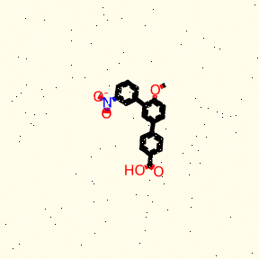 COc1ccc(-c2ccc(C(=O)O)cc2)cc1-c1cccc([N+](=O)[O-])c1